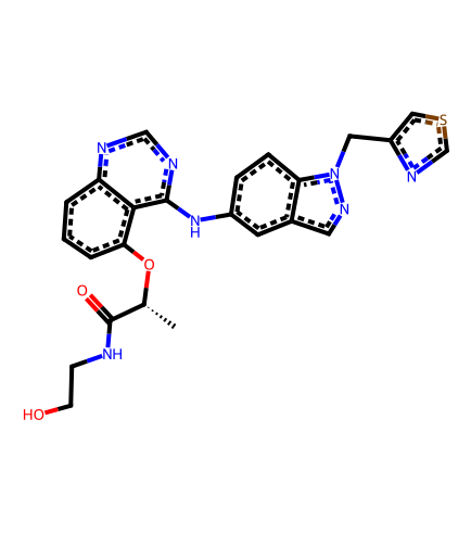 C[C@@H](Oc1cccc2ncnc(Nc3ccc4c(cnn4Cc4cscn4)c3)c12)C(=O)NCCO